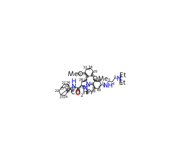 CCN(CC)CCCNc1ccc(-n2nc(C(=O)NC3(C(=O)O)C4CC5CC(C4)CC3C5)cc2-c2c(OC)cccc2OC)c(C(C)C)c1